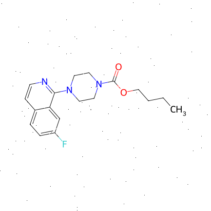 CCCCOC(=O)N1CCN(c2nccc3ccc(F)cc23)CC1